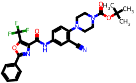 CC(C)(C)OC(=O)N1CCN(c2ccc(NC(=O)c3nc(-c4ccccc4)oc3C(F)(F)F)cc2C#N)CC1